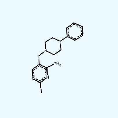 Cc1ncc(CN2CCN(c3ccccc3)CC2)c(N)n1